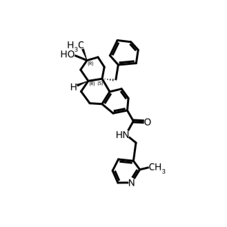 Cc1ncccc1CNC(=O)c1ccc2c(c1)CC[C@@H]1C[C@](C)(O)CC[C@@]21Cc1ccccc1